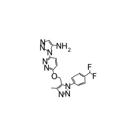 Cc1nnn(-c2ccc(C(F)F)cc2)c1COc1ccc(-n2nncc2N)nn1